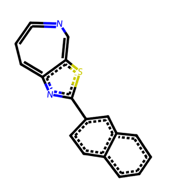 C1=CC=c2nc(-c3ccc4ccccc4c3)sc2=CN=1